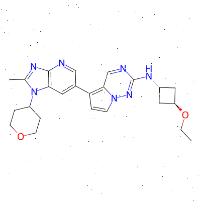 CCO[C@H]1C[C@H](Nc2ncc3c(-c4cnc5nc(C)n(C6CCOCC6)c5c4)ccn3n2)C1